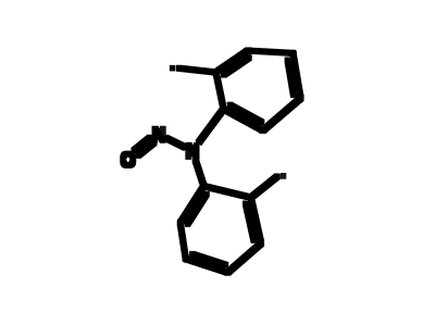 [CH2]c1ccccc1N(N=O)c1ccccc1[CH2]